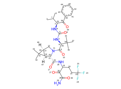 CC(C)[C@H](NC(=O)N[C@H](C(=O)N1C[C@H]2[C@@H]([C@H]1C(=O)NC(CCC(F)(F)F)C(=O)C(N)=O)C2(C)C)C(C)(C)C)C(=O)c1ccccc1